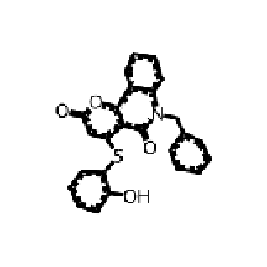 O=c1cc(Sc2ccccc2O)c2c(=O)n(Cc3ccccc3)c3ccccc3c2o1